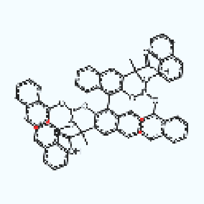 CC(C)(C(=O)O)c1cc2ccccc2c(-c2c(OP(Oc3cccc4ccccc34)Oc3cccc4ccccc34)c(C(C)(C)C(=O)O)cc3ccccc23)c1OP(Oc1cccc2ccccc12)Oc1cccc2ccccc12